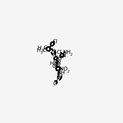 CC1(C)CCC(CN2CCN(c3ccc(C(=O)NS(=O)(=O)c4ccc(NCC5CN(C6COC6)CCO5)c([N+](=O)[O-])c4)c(Oc4cnc(N)c(Cl)c4)c3)CC2)=C(c2ccc(Cl)cc2)C1